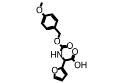 COc1ccc(COC(=O)NC(C(=O)O)c2ccco2)cc1